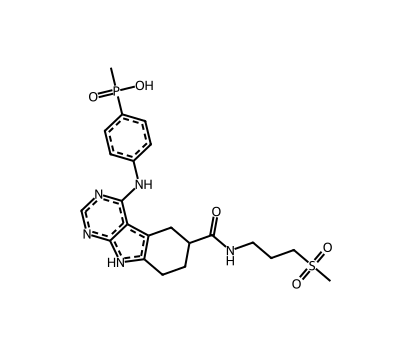 CP(=O)(O)c1ccc(Nc2ncnc3[nH]c4c(c23)CC(C(=O)NCCCS(C)(=O)=O)CC4)cc1